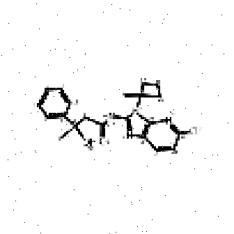 CC1(n2c(NC(=O)C[C@](C)(O)c3ccccc3)nc3ccc(Cl)nc32)CCC1